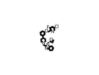 Fc1cc(Cl)cnc1COc1cccc(C2CCN(Cc3nc4ccccc4n3C[C@@H]3CCO3)CC2)c1